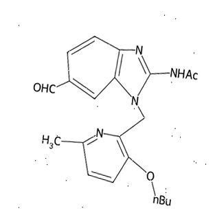 CCCCOc1ccc(C)nc1Cn1c(NC(C)=O)nc2ccc(C=O)cc21